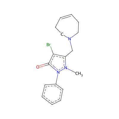 Cn1c(CN2CCC=CCC2)c(Br)c(=O)n1-c1ccccc1